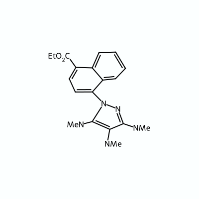 CCOC(=O)c1ccc(-n2nc(NC)c(NC)c2NC)c2ccccc12